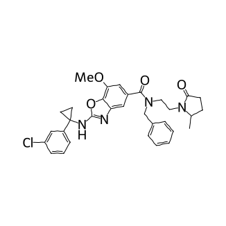 COc1cc(C(=O)N(CCN2C(=O)CCC2C)Cc2ccccc2)cc2nc(NC3(c4cccc(Cl)c4)CC3)oc12